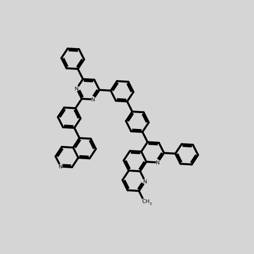 Cc1ccc2ccc3c(-c4ccc(-c5cccc(-c6cc(-c7ccccc7)nc(-c7cccc(-c8cccc9cnccc89)c7)n6)c5)cc4)cc(-c4ccccc4)nc3c2n1